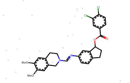 COc1cc2c(cc1OC)CN(/C=N/c1ccc3c(c1)C(OC(=O)c1ccc(Cl)c(Cl)c1)CC3)CC2